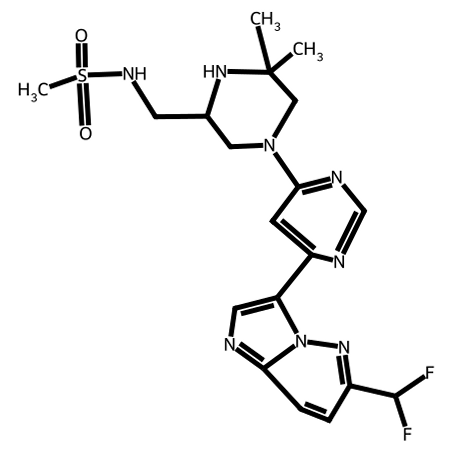 CC1(C)CN(c2cc(-c3cnc4ccc(C(F)F)nn34)ncn2)CC(CNS(C)(=O)=O)N1